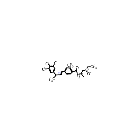 C[C@H](C[S+]([O-])CC(F)(F)F)NC(=O)c1ccc(/C=C/C(c2cc(Cl)c(Cl)c(Cl)c2)C(F)(F)F)cc1C(F)(F)F